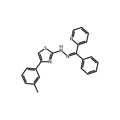 Cc1cccc(-c2csc(NN=C(c3ccccc3)c3ccccn3)n2)c1